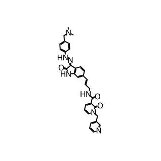 CN(C)Cc1ccc(NN=C2C(=O)Nc3cc(C=CCNC(=O)c4cccn(Cc5cccnc5)c4=O)ccc32)cc1